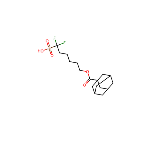 O=C(OCCCCCC(F)(F)S(=O)(=O)O)C12CC3CC(CC(C3)C1)C2